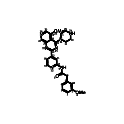 COc1cccc(CC(=O)Nc2cc(-c3nc(N4CCNCC4)c4c(OC)cncc4n3)ccn2)c1